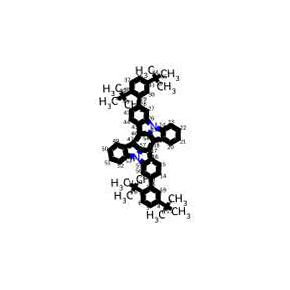 CC(C)(C)c1ccc(C(C)(C)C)c(-c2ccc3c4c5c6ccccc6n6c7cc(-c8cc(C(C)(C)C)ccc8C(C)(C)C)ccc7c(c7c8ccccc8n(c3c2)c74)c56)c1